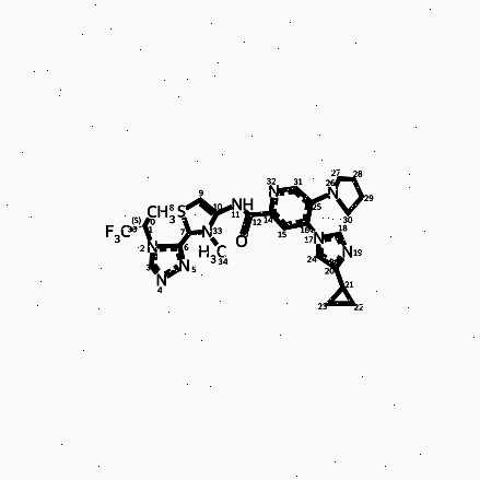 C[C@H](n1cnnc1C1SC=C(NC(=O)c2cc(-n3cnc(C4CC4)c3)c(N3CCCC3)cn2)N1C)C(F)(F)F